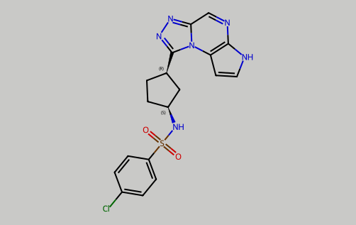 O=S(=O)(N[C@H]1CC[C@@H](c2nnc3cnc4[nH]ccc4n23)C1)c1ccc(Cl)cc1